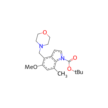 COc1cc(C)c2c(ccn2C(=O)OC(C)(C)C)c1CN1CCOCC1